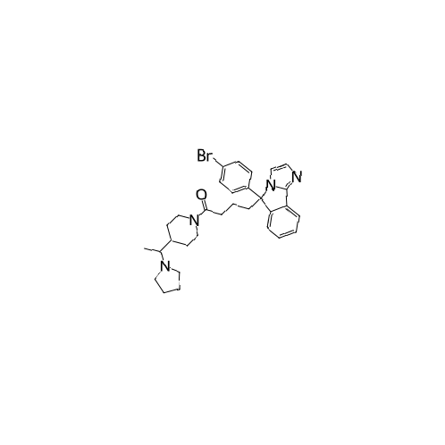 CC(C1CCN(C(=O)CCCC2(c3ccc(Br)cc3)c3ccccc3-c3nccn32)CC1)N1CCCC1